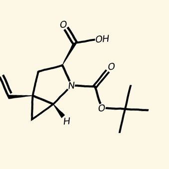 C=C[C@@]12C[C@@H](C(=O)O)N(C(=O)OC(C)(C)C)[C@@H]1C2